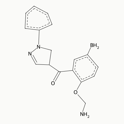 Bc1ccc(OCN)c(C(=O)C2C=NN(c3ccccc3)C2)c1